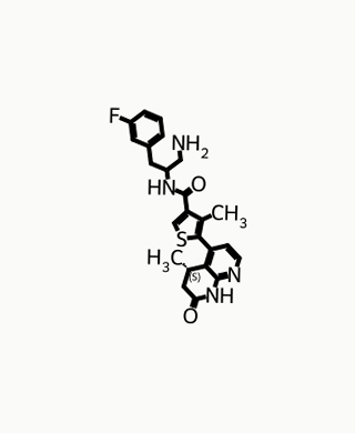 Cc1c(C(=O)NC(CN)Cc2cccc(F)c2)csc1-c1ccnc2c1[C@@H](C)CC(=O)N2